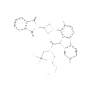 CCCCN(CC(F)(F)F)C(=O)C1c2cc(F)ccc2-c2ccc(F)c(N3CC(N4C(=O)c5ccccc5C4=O)C3)c21